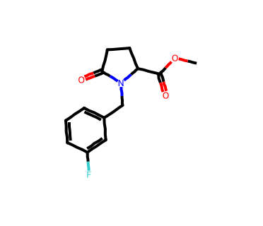 COC(=O)C1CCC(=O)N1Cc1cccc(F)c1